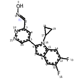 O/N=C/c1cc(-c2cc3cc(F)c(F)cc3n2C2CC2)cnn1